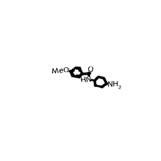 COc1ccc(C(=O)NC2CCC(N)CC2)cc1